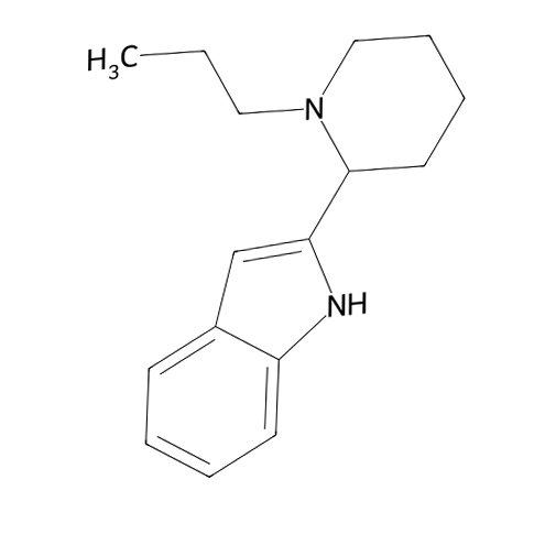 CCCN1CCCCC1c1cc2ccccc2[nH]1